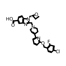 O=C(O)c1ccc2c(c1)nc(CN1CC=C(c3cccc(OCc4ccc(Cl)cc4F)n3)CC1)n2C[C@@H]1CCO1